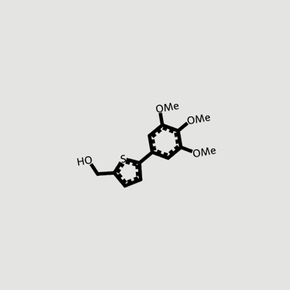 COc1cc(-c2ccc(CO)s2)cc(OC)c1OC